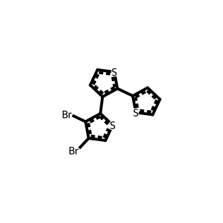 Brc1csc(-c2ccsc2-c2cccs2)c1Br